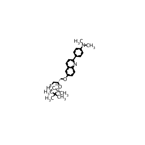 CN(C)c1ccc(-c2ccc3cc(OC[C@@H](CF)O[Si](C)(C)C(C)(C)C)ccc3n2)cc1